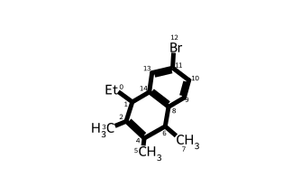 CCC1C(C)=C(C)C(C)c2ccc(Br)cc21